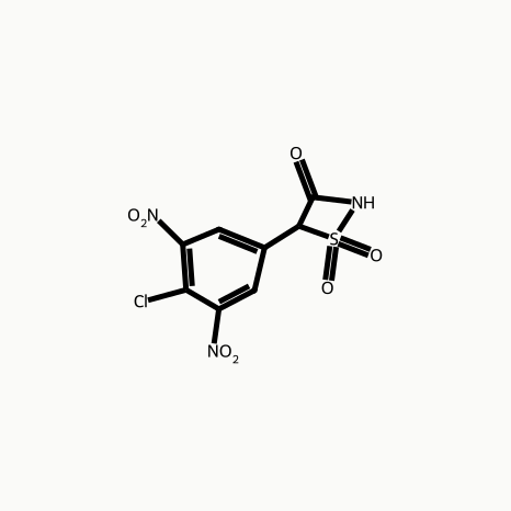 O=C1NS(=O)(=O)C1c1cc([N+](=O)[O-])c(Cl)c([N+](=O)[O-])c1